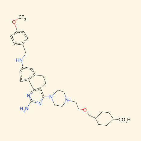 Nc1nc2c(c(N3CCN(CCOCC4CCC(C(=O)O)CC4)CC3)n1)CCc1cc(NCc3ccc(OC(F)(F)F)cc3)ccc1-2